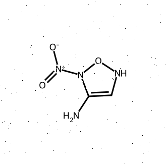 NC1=CNON1[N+](=O)[O-]